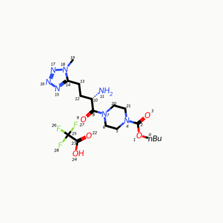 CCCCOC(=O)N1CCN(C(=O)[C@@H](N)CCc2nnnn2C)CC1.O=C(O)C(F)(F)F